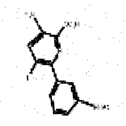 CC(=O)Nc1cccc(-c2nc(C(=O)O)c(N)cc2F)c1